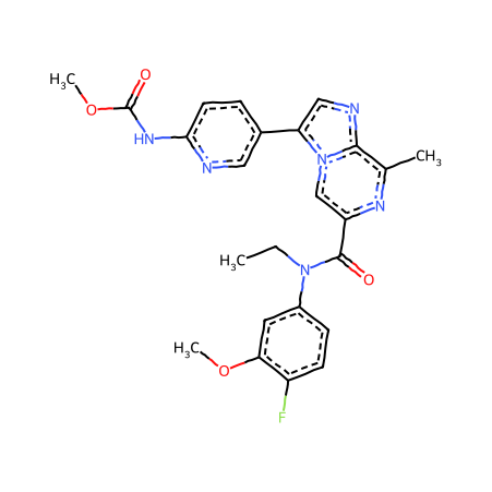 CCN(C(=O)c1cn2c(-c3ccc(NC(=O)OC)nc3)cnc2c(C)n1)c1ccc(F)c(OC)c1